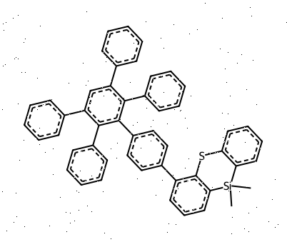 C[Si]1(C)c2ccccc2Sc2c(-c3ccc(-c4c(-c5ccccc5)c(-c5ccccc5)cc(-c5ccccc5)c4-c4ccccc4)cc3)cccc21